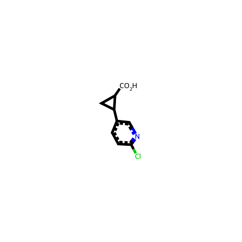 O=C(O)C1CC1c1ccc(Cl)nc1